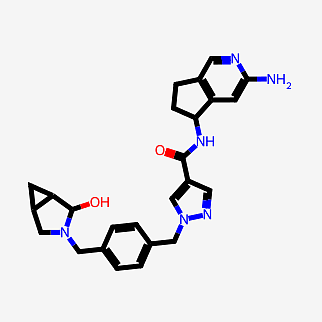 Nc1cc2c(cn1)CCC2NC(=O)c1cnn(Cc2ccc(CN3CC4CC4C3O)cc2)c1